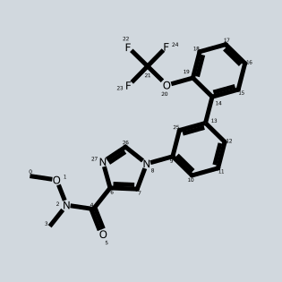 CON(C)C(=O)c1cn(-c2cccc(-c3ccccc3OC(F)(F)F)c2)cn1